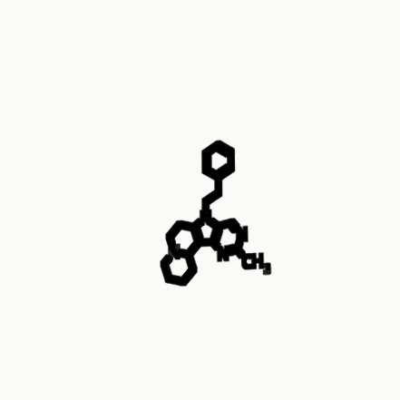 Cc1ncc2c(n1)c1c(n2CCc2ccccc2)CCN2CCCCC12